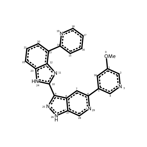 COc1cncc(-c2cc3c(-c4nc5c(-c6ccccn6)cccc5[nH]4)n[nH]c3cn2)c1